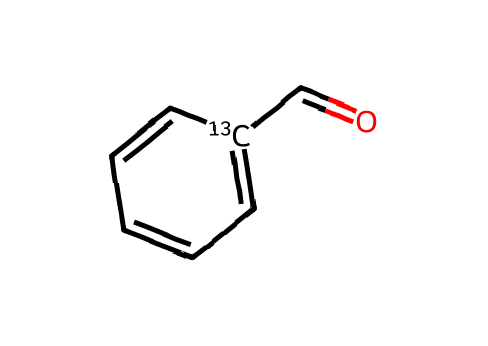 O=C[13c]1ccccc1